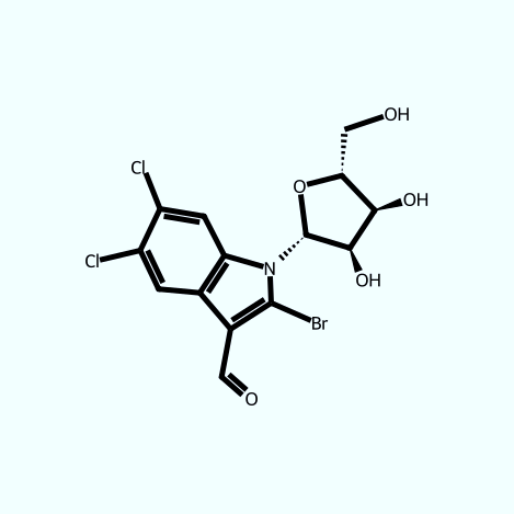 O=Cc1c(Br)n([C@@H]2O[C@H](CO)[C@@H](O)[C@H]2O)c2cc(Cl)c(Cl)cc12